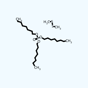 CCCCCCCCOP(=O)(OCCCCCCCC)OCCCCCCCC.CSSC